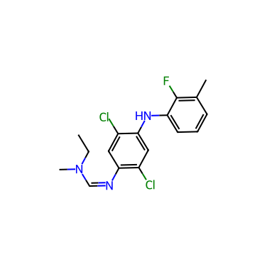 CCN(C)/C=N\c1cc(Cl)c(Nc2cccc(C)c2F)cc1Cl